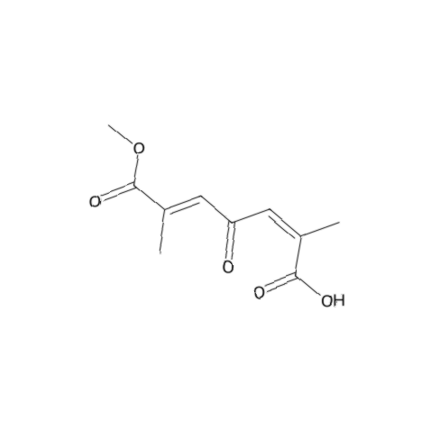 COC(=O)C(C)=CC(=O)C=C(C)C(=O)O